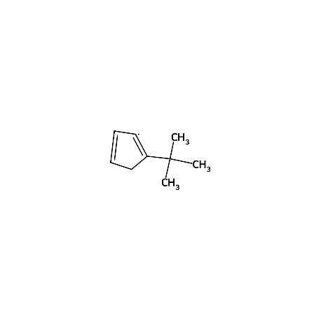 CC(C)(C)C1=[C]C=CC1